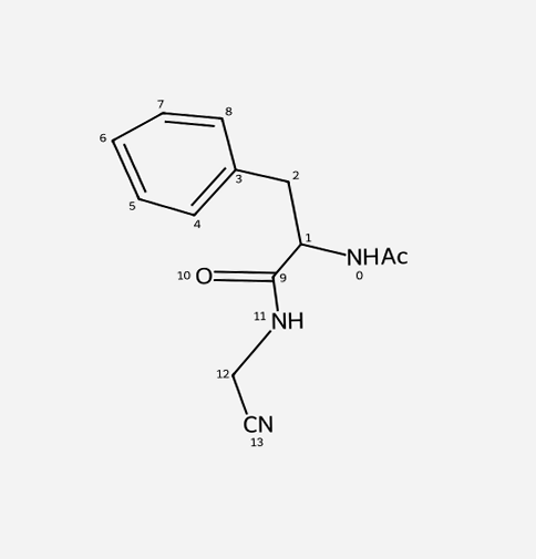 CC(=O)NC(Cc1ccccc1)C(=O)NCC#N